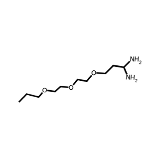 CCCOCCOCCOCCC(N)N